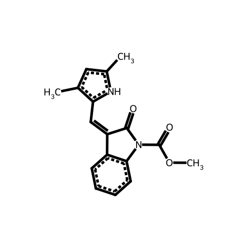 COC(=O)N1C(=O)/C(=C\c2[nH]c(C)cc2C)c2ccccc21